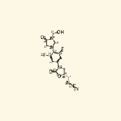 [N-]=[N+]=NC[C@H]1CN(c2cc(F)c(N3CC(=O)N(CO)C3)c(F)c2)C(=O)O1